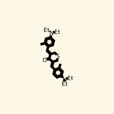 CCN(CC)c1ccc(C=C2CSCC(=Cc3ccc(N(CC)CC)cc3C)C2=O)c(C)c1